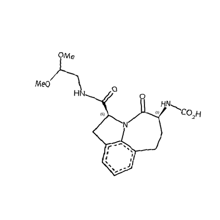 COC(CNC(=O)[C@@H]1Cc2cccc3c2N1C(=O)[C@@H](NC(=O)O)CC3)OC